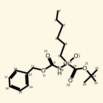 CCCCCC[N+]([O-])(NC(=O)OCc1ccccc1)C(=O)OC(C)(C)C